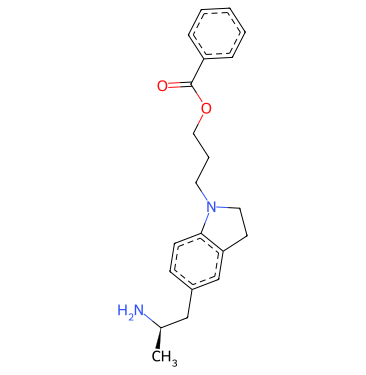 C[C@@H](N)Cc1ccc2c(c1)CCN2CCCOC(=O)c1ccccc1